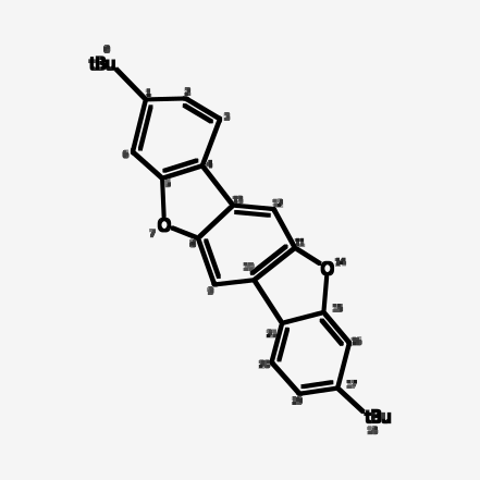 CC(C)(C)c1ccc2c(c1)oc1cc3c(cc12)oc1cc(C(C)(C)C)ccc13